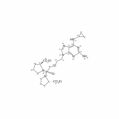 CCOC(=O)[C@@H]1CCCN1P(=O)(COCCn1cnc2c(NC3CC3)nc(N)nc21)N1CCC[C@H]1C(=O)OCC